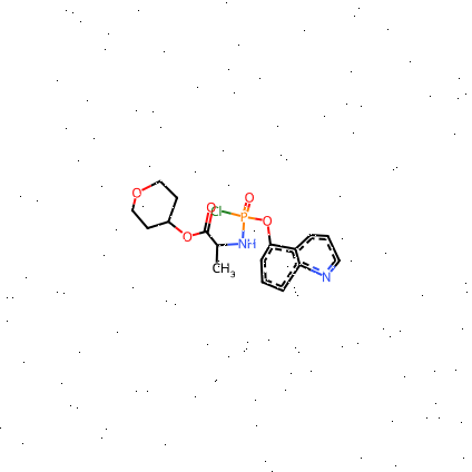 CC(NP(=O)(Cl)Oc1cccc2ncccc12)C(=O)OC1CCOCC1